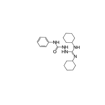 O=C(NN/C(=N\C1CCCCC1)NC1CCCCC1)Nc1ccccc1